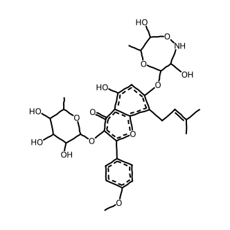 COc1ccc(-c2oc3c(CC=C(C)C)c(OC4OC(C)C(O)ONC4O)cc(O)c3c(=O)c2OC2OC(C)C(O)C(O)C2O)cc1